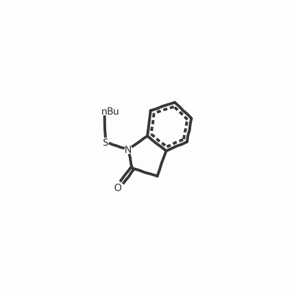 CCCCSN1C(=O)Cc2ccccc21